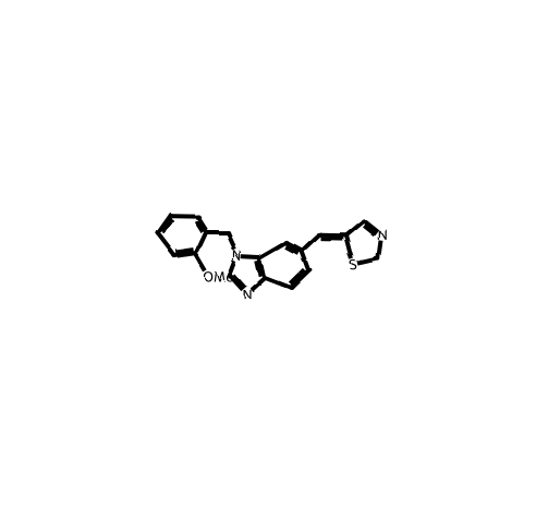 COc1ccccc1Cn1cnc2ccc(C=C3C=NCS3)cc21